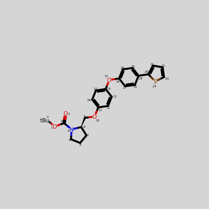 CC(C)(C)OC(=O)N1CCC[C@@H]1COc1ccc(Oc2ccc(-c3cccs3)cc2)cc1